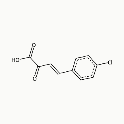 O=C(O)C(=O)/C=C/c1ccc(Cl)cc1